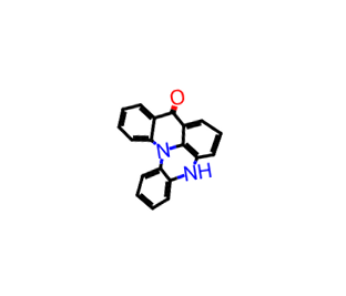 O=c1c2ccccc2n2c3c(cccc13)Nc1ccccc1-2